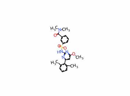 COc1cc(-c2c(C)cccc2C)nc(NS(=O)(=O)c2cccc(C(=O)N(C)C)c2)n1